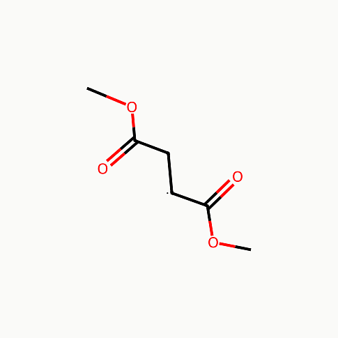 COC(=O)[CH]CC(=O)OC